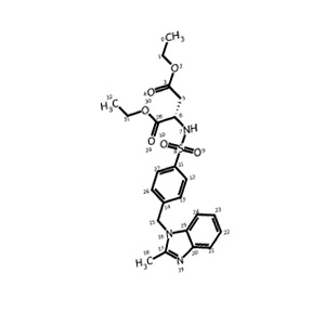 CCOC(=O)C[C@H](NS(=O)(=O)c1ccc(Cn2c(C)nc3ccccc32)cc1)C(=O)OCC